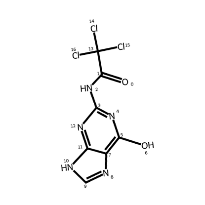 O=C(Nc1nc(O)c2nc[nH]c2n1)C(Cl)(Cl)Cl